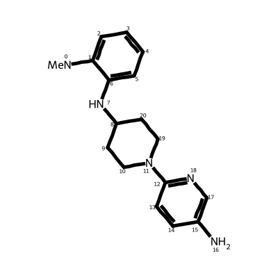 CNc1ccccc1NC1CCN(c2ccc(N)cn2)CC1